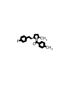 Cc1ccc(C(=O)N2[C@@H](CCc3ccc(F)cc3)CC[C@H]2C)cc1